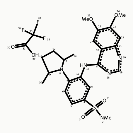 CNS(=O)(=O)c1ccc(N2C(C)CCC2C)c(Nc2ncnc3cc(OC)c(OC)cc23)c1.O=C(O)C(F)(F)F